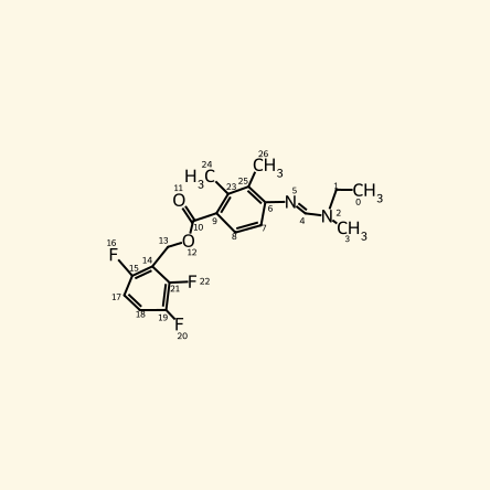 CCN(C)/C=N/c1ccc(C(=O)OCc2c(F)ccc(F)c2F)c(C)c1C